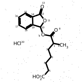 CC(CCCCC(=O)O)C(=O)OC1OC(=O)c2ccccc21.Cl